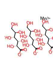 O=C([O-])[C@H](O)[C@@H](O)[C@H](O)[C@H](O)CO.O=C([O-])[C@H](O)[C@@H](O)[C@H](O)[C@H](O)CO.O=C([O-])[C@H](O)[C@@H](O)[C@H](O)[C@H](O)CO.[Mn+3]